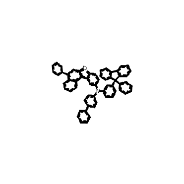 c1ccc(-c2ccc(N(c3cccc(C4(c5ccccc5)c5ccccc5-c5ccccc54)c3)c3ccc4oc5cc(-c6ccccc6)c6ccccc6c5c4c3)cc2)cc1